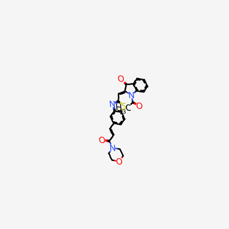 CC(=O)N1/C(=C\c2nc3cc(/C=C/C(=O)N4CCOCC4)ccc3s2)C(=O)c2ccccc21